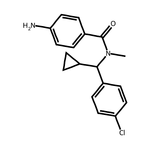 CN(C(=O)c1ccc(N)cc1)C(c1ccc(Cl)cc1)C1CC1